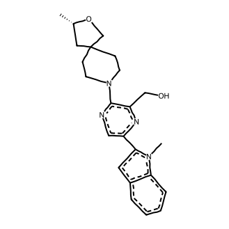 C[C@H]1CC2(CCN(c3ncc(-c4cc5ccccc5n4C)nc3CO)CC2)CO1